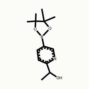 CC(O)c1ccc(B2OC(C)(C)C(C)(C)O2)cn1